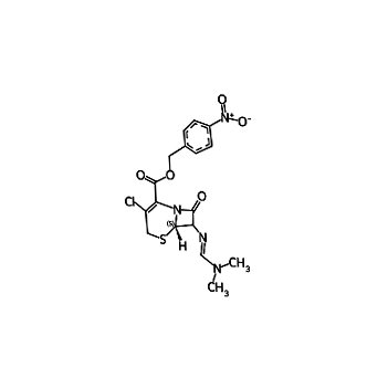 CN(C)C=NC1C(=O)N2C(C(=O)OCc3ccc([N+](=O)[O-])cc3)=C(Cl)CS[C@@H]12